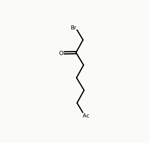 CC(=O)CCCCC(=O)CBr